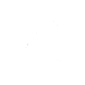 CC(C)(C)c1c[c]cc(C(C)(C)C)c1.[LiH]